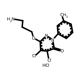 Cc1cccc(-n2nc(OCCCN)c(Cl)c(Cl)c2=O)c1.Cl